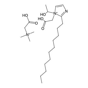 CCCCCCCCCCCC1=NC=C[N+]1(CC(=O)O)C(C)O.C[N+](C)(C)CC(=O)O